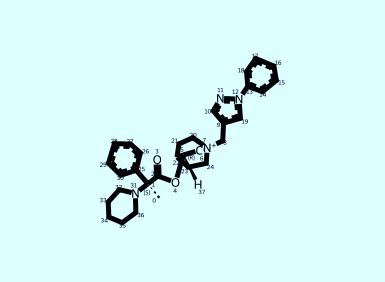 C[C@@](C(=O)O[C@H]1C[N+]2(Cc3cnn(-c4ccccc4)c3)CCC1CC2)(c1ccccc1)N1CCCCC1